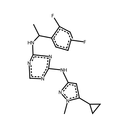 CC(Nc1ncnc(Nc2cc(C3CC3)n(C)n2)n1)c1ccc(F)cc1F